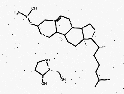 CC(C)CCC[C@@H](C)[C@H]1CCC2C3CC=C4CC(OP(N)O)CC[C@]4(C)C3CC[C@@]21C.OC[C@H]1NCCC1O